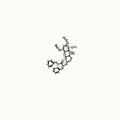 CC(=O)OC1CC[C@@H](CN(Cc2ccccc2)C(=O)OCc2ccccc2)OC1OC1[C@@H](N=[N+]=[N-])C[C@@H](N=[N+]=[N-])[C@H](OC(C)=O)[C@H]1OC(C)=O